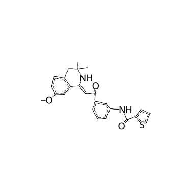 COc1ccc2c(c1)/C(=C/C(=O)c1cccc(NC(=O)c3cccs3)c1)NC(C)(C)C2